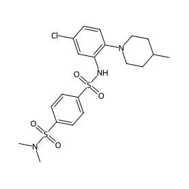 CC1CCN(c2ccc(Cl)cc2NS(=O)(=O)c2ccc(S(=O)(=O)N(C)C)cc2)CC1